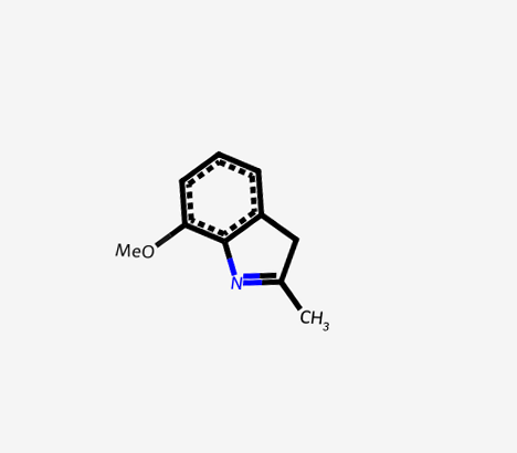 COc1cccc2c1N=C(C)C2